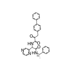 C[C@H](NC(=O)C(NC(=O)C(=O)Cc1ccc(-c2ccccc2)cc1)c1cnccn1)c1ccccc1